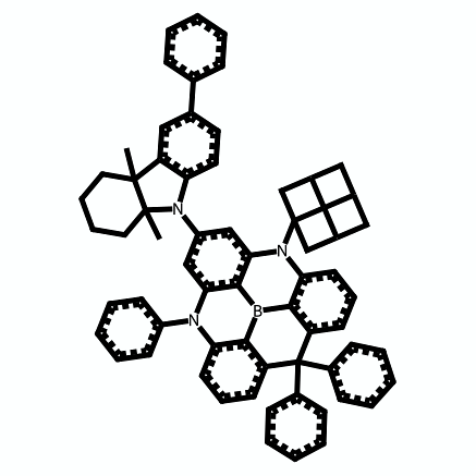 CC12CCCCC1(C)N(c1cc3c4c(c1)N(C15CC6CC7CC(C1)C765)c1cccc5c1B4c1c(cccc1C5(c1ccccc1)c1ccccc1)N3c1ccccc1)c1ccc(-c3ccccc3)cc12